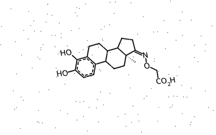 C[C@]12CCC3c4ccc(O)c(O)c4CCC3C1CC/C2=N/OCC(=O)O